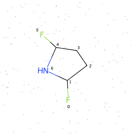 FC1CCC(F)N1